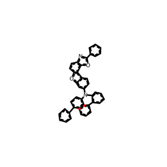 c1ccc(-c2ccc(N(c3ccc4c(c3)oc3ccc5nc(-c6ccccc6)oc5c34)c3ccccc3-c3ccccc3)cc2)cc1